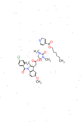 CCCCCCOC(=O)c1ccncc1.CN1CCN(C)C1=O.COc1ccc2c(c1)c(CC(=O)O)c(C)n2C(=O)c1ccc(Cl)cc1